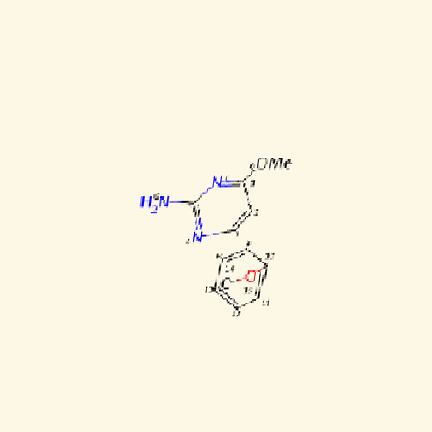 COc1ccnc(N)n1.c1cc2ccc1CO2